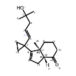 CC(C)(O)C/C=C/C1(C2=CC[C@H]3C(=O)CCC[C@@]23C)CC1